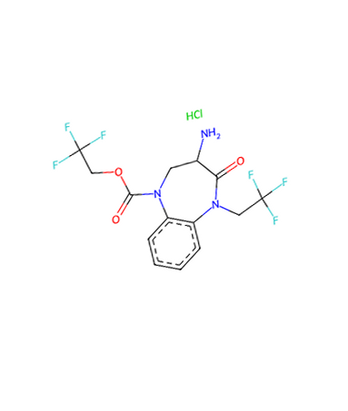 Cl.NC1CN(C(=O)OCC(F)(F)F)c2ccccc2N(CC(F)(F)F)C1=O